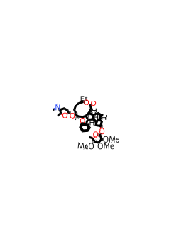 CC[C@H]1CCC[C@H](O[C@H]2CC[C@H](N(C)C)C(C)O2)[C@@H](C)C(=O)C2C(c3ccccc3)[C@@H]3[C@@H](C=C[C@@H]4C[C@@H](O[C@@H]5OC(C)[C@H](OC)C(OC)C5OC)C[C@@H]34)[C@@H]2CC(=O)O1